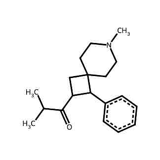 CC(C)C(=O)C1CC2(CCN(C)CC2)C1c1ccccc1